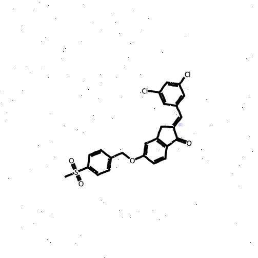 CS(=O)(=O)c1ccc(COc2ccc3c(c2)C/C(=C\c2cc(Cl)cc(Cl)c2)C3=O)cc1